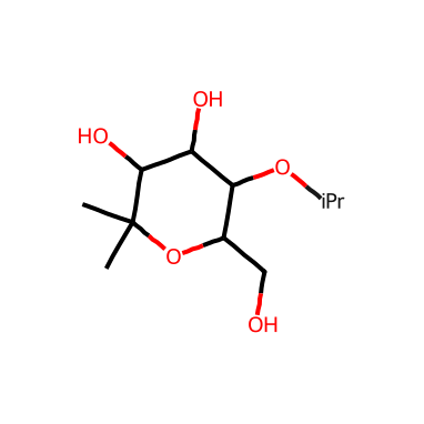 CC(C)OC1C(CO)OC(C)(C)C(O)C1O